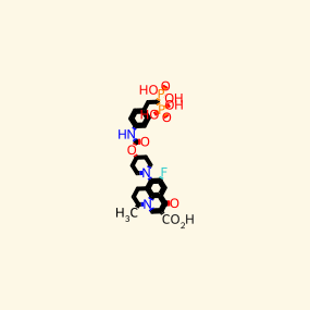 CC1CCc2c(N3CCC(OC(=O)Nc4ccc(CC(P(=O)(O)O)P(=O)(O)O)cc4)CC3)c(F)cc3c(=O)c(C(=O)O)cn1c23